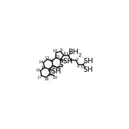 BC(CCCC(S)S)C1CCC2C3CCC4CCCC(C)C4(S)C3CSC12S